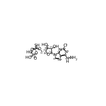 NNc1nc(Cl)nc2c1ncn2[C@@H]1O[C@H](CO[P@@](=O)(S)OP(=O)(O)O)[C@@H](O)C1O